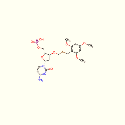 COc1cc(OC)c(CSCO[C@H]2C[C@H](n3ccc(N)nc3=O)O[C@@H]2CO[PH](=O)O)c(OC)c1